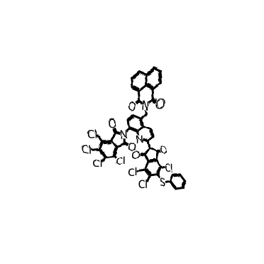 O=C1c2c(Cl)c(Cl)c(Sc3ccccc3)c(Cl)c2C(=O)C1c1ccc2c(CN3C(=O)c4cccc5cccc(c45)C3=O)ccc(N3C(=O)c4c(Cl)c(Cl)c(Cl)c(Cl)c4C3=O)c2n1